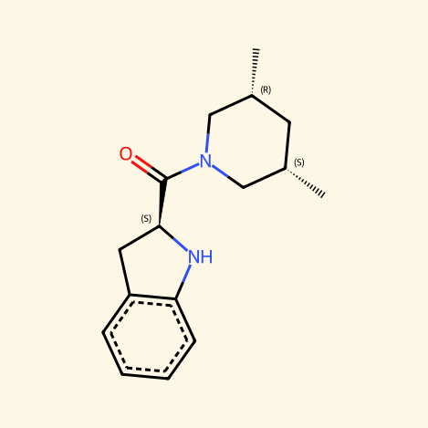 C[C@@H]1C[C@H](C)CN(C(=O)[C@@H]2Cc3ccccc3N2)C1